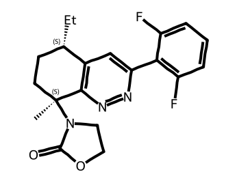 CC[C@H]1CC[C@](C)(N2CCOC2=O)c2nnc(-c3c(F)cccc3F)cc21